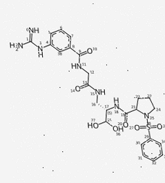 N=C(N)Nc1cccc(C(=O)NCC(=O)NC[C@H](NC(=O)C2CCCN2S(=O)(=O)c2ccccc2)C(O)O)c1